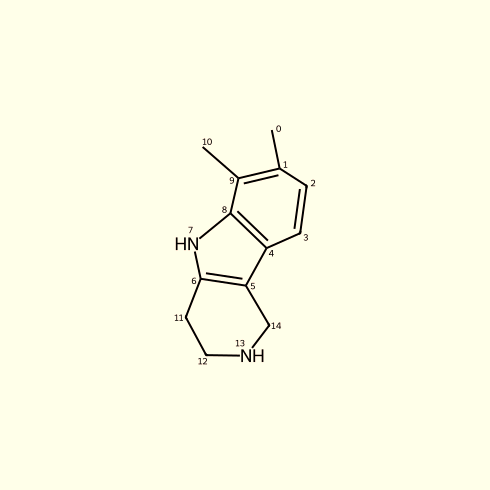 Cc1ccc2c3c([nH]c2c1C)CCNC3